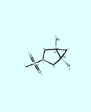 CC(C)[C@]12C[C@H]1CN(S(C)(=O)=O)C2